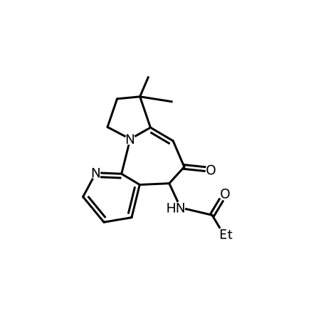 CCC(=O)NC1C(=O)C=C2N(CCC2(C)C)c2ncccc21